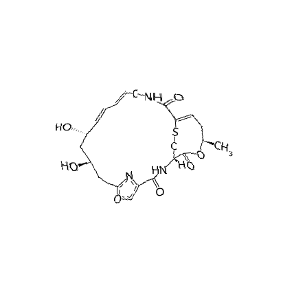 C[C@@H]1C/C=C2\SC[C@@H](NC(=O)c3coc(n3)C[C@@H](O)C[C@H](O)/C=C/C=C/CNC2=O)C(=O)O1